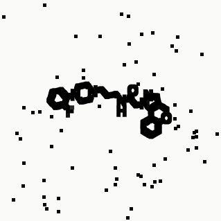 O=C(Cn1ncc2c1-c1ccccc1OC2)NCCCN1CCN(c2ccccc2F)CC1